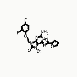 CCn1c(=O)n(CCOc2ccc(F)cc2F)c2nc(N)n3nc(-c4ccco4)nc3c21